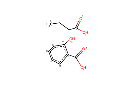 CCCC(=O)O.O=C(O)c1ccccc1O